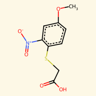 COc1ccc(SCC(=O)O)c([N+](=O)[O-])c1